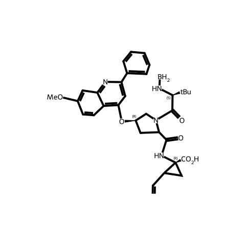 BN[C@H](C(=O)N1C[C@H](Oc2cc(-c3ccccc3)nc3cc(OC)ccc23)CC1C(=O)N[C@]1(C(=O)O)CC1C=C)C(C)(C)C